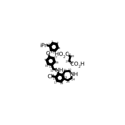 CC(C)c1ccccc1Oc1ccc(CNc2c(Cl)ccc3c2CCNCC3)cc1.O=C(O)CCC(=O)O